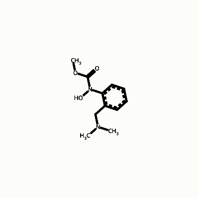 COC(=O)N(O)c1ccccc1CN(C)C